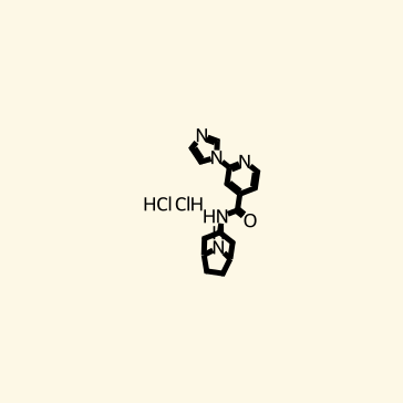 Cl.Cl.O=C(NC1CC2CCC(C1)N2)c1ccnc(-n2ccnc2)c1